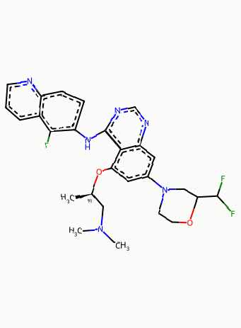 C[C@H](CN(C)C)Oc1cc(N2CCOC(C(F)F)C2)cc2ncnc(Nc3ccc4ncccc4c3F)c12